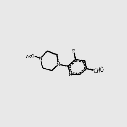 CC(=O)ON1CCN(c2ncc(C=O)cc2F)CC1